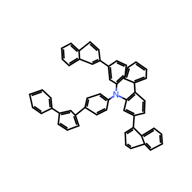 c1ccc(-c2cccc(-c3ccc(N(c4cccc(-c5ccc6ccccc6c5)c4)c4cc(-c5cccc6ccccc56)ccc4-c4ccccc4)cc3)c2)cc1